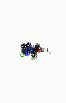 CCOC(=O)[C@@H]1C2CCC(CC2)[C@H]1Nc1nc(-c2cn(C(c3ccccc3)(c3ccccc3)c3ccccc3)c3nc(Cl)cnc23)nc(-c2ccc(Cl)s2)c1F